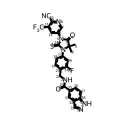 CC1(C)C(=O)N(c2cnc(C#N)c(C(F)(F)F)c2)C(=S)N1c1ccc(CNC(=O)c2ccc3[nH]ncc3c2)c(F)c1